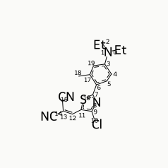 CCN(CC)c1ccc(-c2nc(Cl)c(C=C(C#N)C#N)s2)c(C)c1